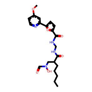 CCCCCC(CN(O)C=O)C(=O)NCNC(=O)c1ccc(-c2cc(OC)ccn2)o1